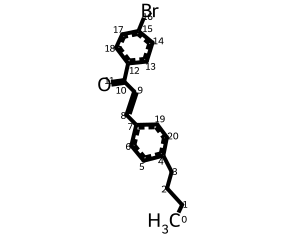 CCCCc1ccc(C=CC(=O)c2ccc(Br)cc2)cc1